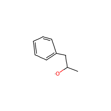 CC([O])Cc1ccccc1